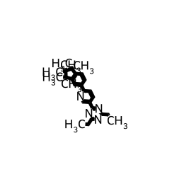 CCc1nc(CC)nc(-c2ccc(-c3ccc4c(c3)C(C)(C)C(C)(C)C4(C)C)nc2)n1